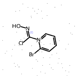 O/N=C(\Cl)[n+]1ccccc1Br